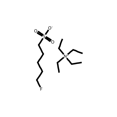 CC[N+](CC)(CC)CC.O=S(=O)([O-])CCCCCF